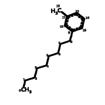 CCCCCCCCCc1[c]c(C)ccc1